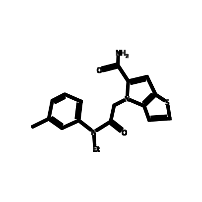 CCN(C(=O)Cn1c(C(N)=O)cc2sccc21)c1cccc(C)c1